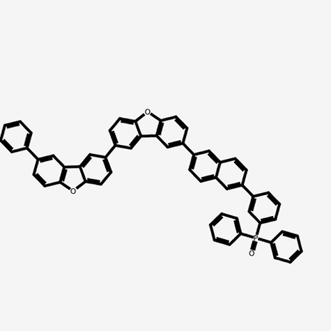 O=P(c1ccccc1)(c1ccccc1)c1cccc(-c2ccc3cc(-c4ccc5oc6ccc(-c7ccc8oc9ccc(-c%10ccccc%10)cc9c8c7)cc6c5c4)ccc3c2)c1